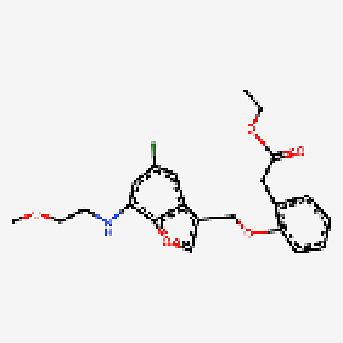 CCOC(=O)Cc1ccccc1OCc1coc2c(NCCOC)cc(Cl)cc12